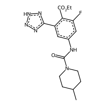 CCOC(=O)c1c(F)cc(NC(=O)N2CCC(C)CC2)cc1-c1nn[nH]n1